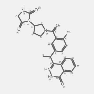 CC(c1ccc(F)c(C(=O)N2CCC(N3C(=O)CNC3=O)C2)c1)c1n[nH]c(=O)c2ccccc12